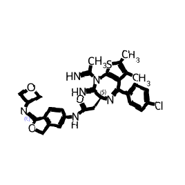 CC(=N)N1C(=N)[C@H](CC(=O)Nc2ccc3c(c2)CO/C3=N/C2COC2)N=C(c2ccc(Cl)cc2)c2c1sc(C)c2C